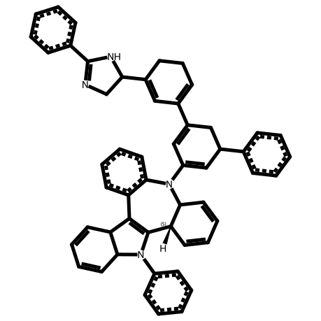 C1=CC2C3=C([C@H]4C=CC=CC4N(C4=CC(c5ccccc5)CC(C5=CCCC(C6CN=C(c7ccccc7)N6)=C5)=C4)c4ccccc43)N(c3ccccc3)C2C=C1